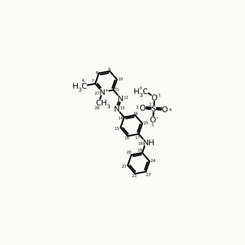 COS(=O)(=O)[O-].Cc1cccc(N=Nc2ccc(Nc3ccccc3)cc2)[n+]1C